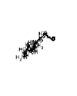 CC(C)(COP(=O)(O)OP(=O)(O)OC[C@H]1O[C@@H](n2cnc3c(N)ncnc32)[C@H](O)[C@@H]1OP(=O)(O)O)C(O)C(=O)NCCC(=O)NCCSC(=O)C1(CCCCCc2ccccc2)CO1